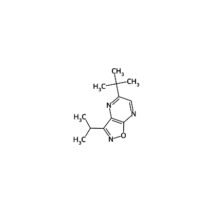 CC(C)c1noc2ncc(C(C)(C)C)nc12